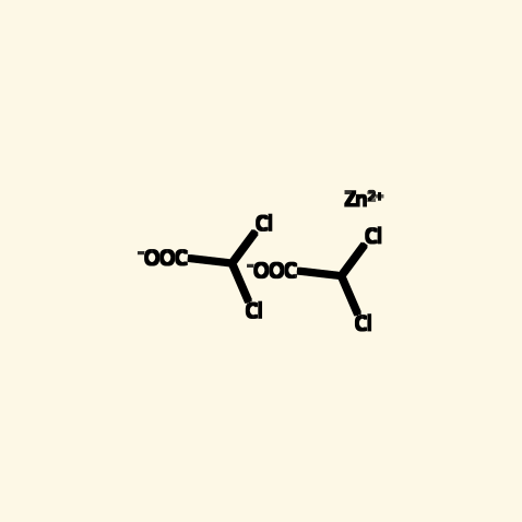 O=C([O-])C(Cl)Cl.O=C([O-])C(Cl)Cl.[Zn+2]